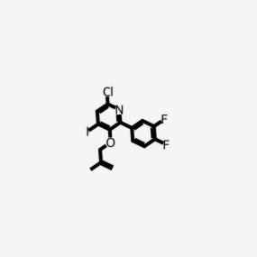 C=C(C)COc1c(I)cc(Cl)nc1-c1ccc(F)c(F)c1